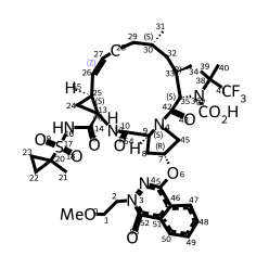 COCCn1nc(O[C@@H]2C[C@H]3C(=O)N[C@]4(C(=O)NS(=O)(=O)C5(C)CC5)C[C@H]4/C=C\CC[C@H](C)C[C@@H](C)[C@H](N(C(=O)O)C(C)(C)C(F)(F)F)C(=O)N3C2)c2ccccc2c1=O